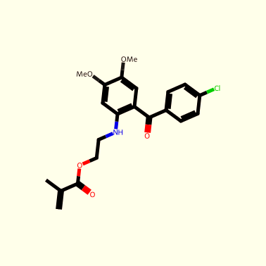 C=C(C)C(=O)OCCNc1cc(OC)c(OC)cc1C(=O)c1ccc(Cl)cc1